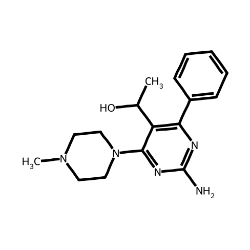 CC(O)c1c(-c2ccccc2)nc(N)nc1N1CCN(C)CC1